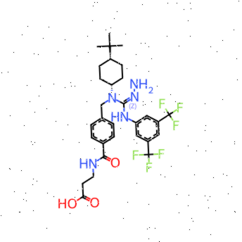 CC(C)(C)[C@H]1CC[C@H](N(Cc2ccc(C(=O)NCCC(=O)O)cc2)/C(=N\N)Nc2cc(C(F)(F)F)cc(C(F)(F)F)c2)CC1